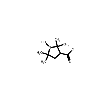 CC1(C)CC(C(=O)Cl)C(C)(C)N1O